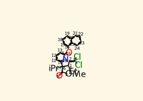 CCC(C=C(Cl)Cl)C(C(=O)OC)(c1cccc(Oc2cccc3ccccc23)n1)C(C)C